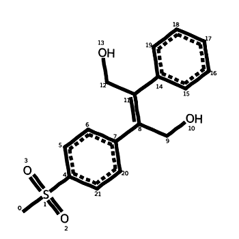 CS(=O)(=O)c1ccc(/C(CO)=C(\CO)c2ccccc2)cc1